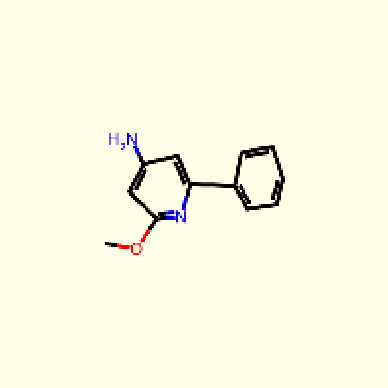 COc1cc(N)cc(-c2ccccc2)n1